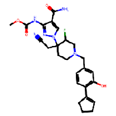 COC(=O)Nc1nn(C2(CC#N)CCN(Cc3ccc(C4=CCCC4)c(O)c3)CC2F)cc1C(N)=O